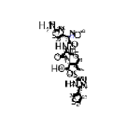 CO/N=C(\C(=O)N[C@@H]1C(=O)N2C(C(=O)O)=C(CSc3nnc(-c4ccsc4)[nH]3)CS[C@H]12)c1csc(N)n1